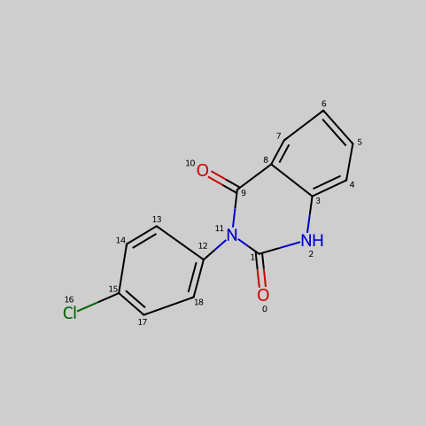 O=c1[nH]c2ccccc2c(=O)n1-c1ccc(Cl)cc1